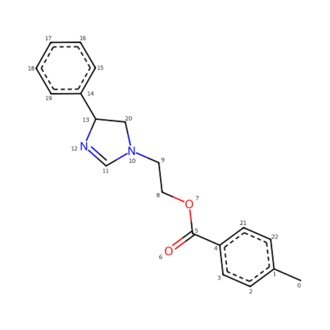 Cc1ccc(C(=O)OCCN2C=NC(c3ccccc3)C2)cc1